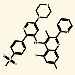 Cc1c(-c2ccccn2)nc2cc(F)cc(F)c2c1Nc1cc(N2CCOCC2)cnc1-c1ccc(S(C)(=O)=O)cc1